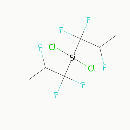 CC(F)C(F)(F)[Si](Cl)(Cl)C(F)(F)C(C)F